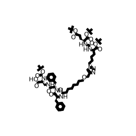 CC(C)(C)OC(=O)CC[C@H](NC(=O)NC(CCCCn1cc(COCCCCCCCC(=O)N[C@@H](Cc2ccccc2)C(=O)N[C@@H](Cc2ccccc2)C(=O)NC[C@H](NC(=O)OC(C)(C)C)C(=O)O)nn1)C(=O)OC(C)(C)C)C(=O)OC(C)(C)C